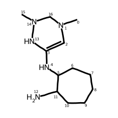 CN1C=C(NC2CCCCCC2N)NN(C)C1